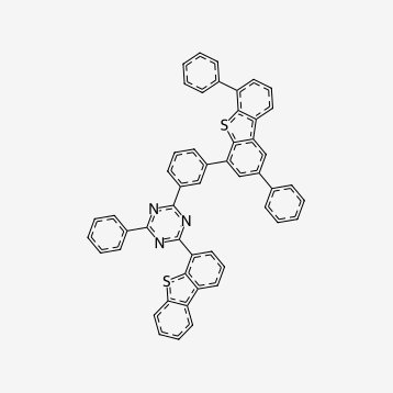 c1ccc(-c2cc(-c3cccc(-c4nc(-c5ccccc5)nc(-c5cccc6c5sc5ccccc56)n4)c3)c3sc4c(-c5ccccc5)cccc4c3c2)cc1